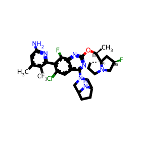 Cc1cc(N)nc(-c2c(Cl)cc3c(N4CC5CCC(C4)N5)nc(O[C@@H](C)[C@]45CCCN4C[C@H](F)C5)nc3c2F)c1C(F)(F)F